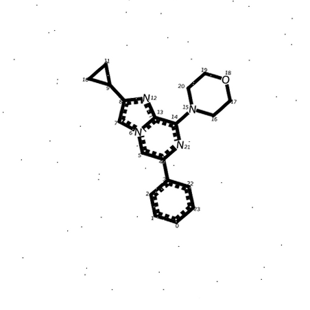 c1ccc(-c2cn3cc(C4CC4)nc3c(N3CCOCC3)n2)cc1